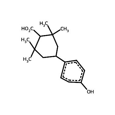 CC1(C)CC(c2ccc(O)cc2)CC(C)(C)C1C(=O)O